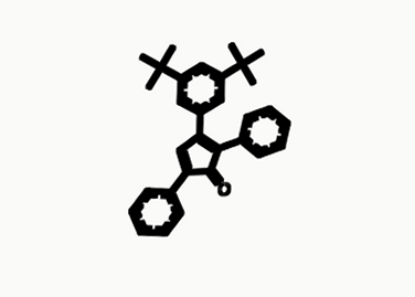 CC(C)(C)c1cc(C2=C(c3ccccc3)C(=O)C(c3ccccc3)=C2)cc(C(C)(C)C)c1